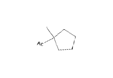 CC(=O)C1(C)CCCC1